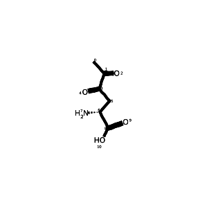 CC(=O)C(=O)C[C@@H](N)C(=O)O